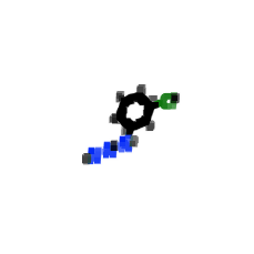 [N-]=[N+]=Nc1[c]ccc(Cl)c1